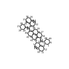 c1ccc(N(c2ccnc3ccccc23)c2ccc3ccc4c(N(c5ccccc5)c5ccnc6ccccc56)ccc5ccc2c3c54)cc1